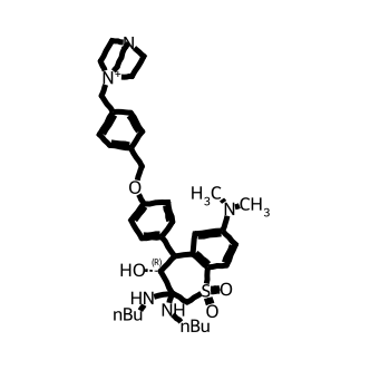 CCCCNC1(NCCCC)CS(=O)(=O)c2ccc(N(C)C)cc2C(c2ccc(OCc3ccc(C[N+]45CCN(CC4)CC5)cc3)cc2)[C@H]1O